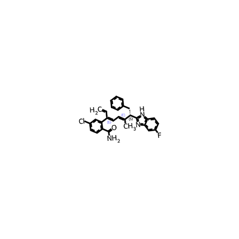 C=C/C(=C\C=C(/C)[C@H](Cc1ccccc1)c1nc2cc(F)ccc2[nH]1)c1cc(Cl)ccc1C(N)=O